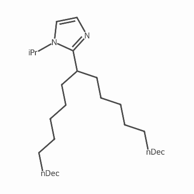 CCCCCCCCCCCCCCCC(CCCCCCCCCCCCCCC)c1nccn1C(C)C